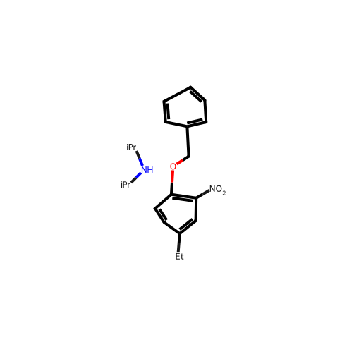 CC(C)NC(C)C.CCc1ccc(OCc2ccccc2)c([N+](=O)[O-])c1